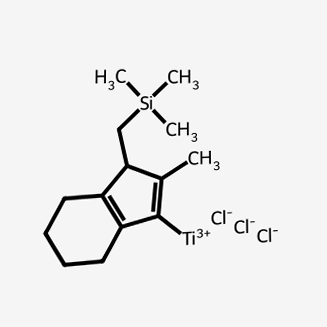 CC1=[C]([Ti+3])C2=C(CCCC2)C1C[Si](C)(C)C.[Cl-].[Cl-].[Cl-]